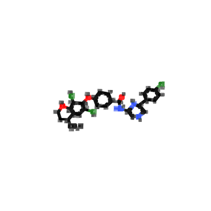 O=C(Nc1cncc(-c2ccc(Cl)cc2)n1)c1ccc(Oc2c(Cl)cc3c(c2Cl)OCCC3C(=O)O)cc1